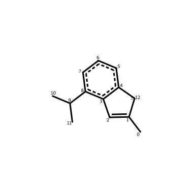 CC1=Cc2c(cccc2C(C)C)[C]1